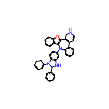 C1=CCCC(N2c3ccc(N4c5ccccc5C5=C(CNC=C5)c5oc6ccccc6c54)cc3NC2c2ccccc2)=C1